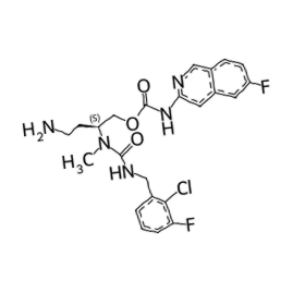 CN(C(=O)NCc1cccc(F)c1Cl)[C@@H](CCN)COC(=O)Nc1cc2cc(F)ccc2cn1